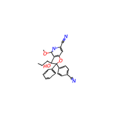 CCCC1(O)c2c(cc(C#N)nc2OC)OC1(c1ccccc1)c1ccc(C#N)cc1